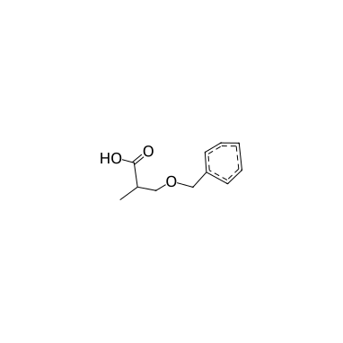 CC(COCc1ccccc1)C(=O)O